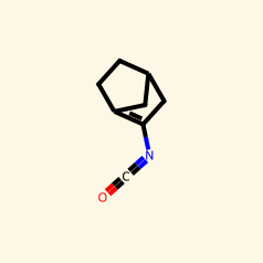 O=C=NC1=C2CCC(C2)C1